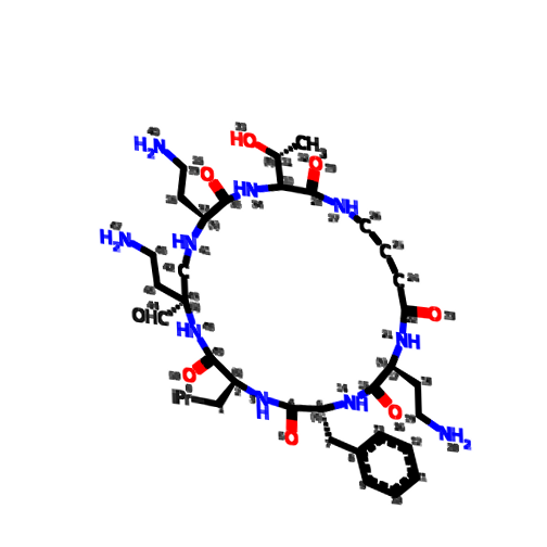 CC(C)C[C@@H]1NC(=O)[C@@H](Cc2ccccc2)NC(=O)[C@H](CCN)NC(=O)CCCNC(=O)C([C@@H](C)O)NC(=O)[C@H](CCN)NC[C@](C=O)(CCN)NC1=O